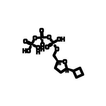 O=P(O)(O)OP(=O)(O)OP(=O)(O)OC[C@@H]1CC[C@H](C2CCC2)O1